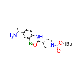 CC(N)c1ccc(NC(=O)C2CCN(C(=O)OC(C)(C)C)CC2)c(Br)c1